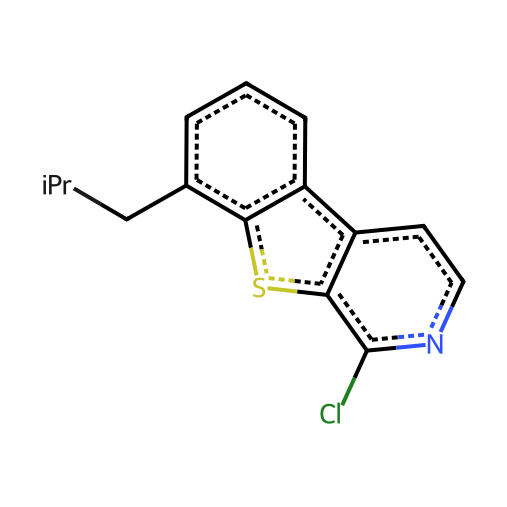 CC(C)Cc1cccc2c1sc1c(Cl)nccc12